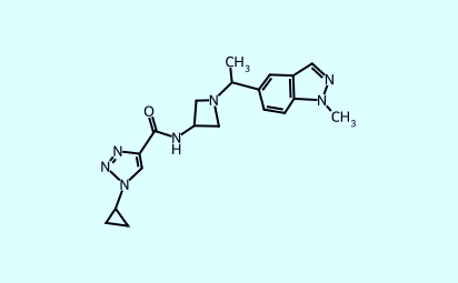 CC(c1ccc2c(cnn2C)c1)N1CC(NC(=O)c2cn(C3CC3)nn2)C1